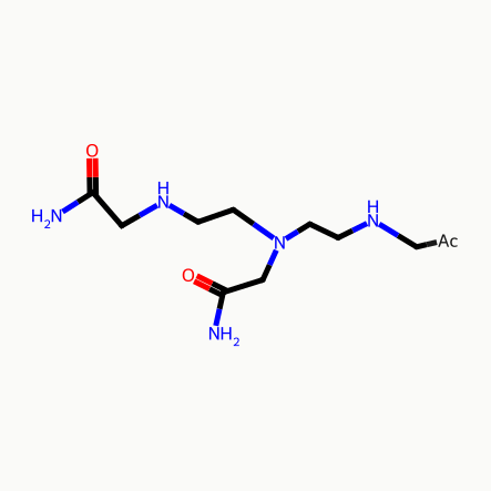 CC(=O)CNCCN(CCNCC(N)=O)CC(N)=O